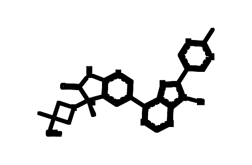 CCn1c(-c2cnc(C)nc2)nc2c(-c3cnc4c(c3)[C@](C)(N3CC(C)(OC)C3)C(=O)N4)ncnc21